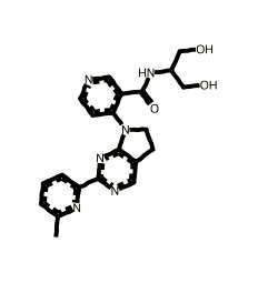 Cc1cccc(-c2ncc3c(n2)N(c2ccncc2C(=O)NC(CO)CO)CC3)n1